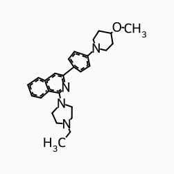 CCN1CCN(c2nc(-c3ccc(N4CCC(OC)CC4)cc3)cc3ccccc23)CC1